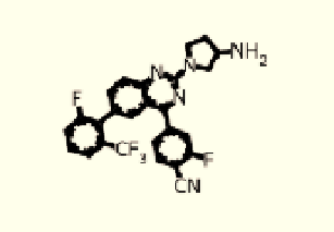 N#Cc1ccc(-c2nc(N3CCC(N)C3)nc3ccc(-c4c(F)cccc4C(F)(F)F)cc23)cc1F